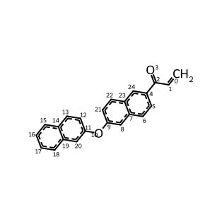 C=CC(=O)c1ccc2cc(Oc3ccc4ccccc4c3)ccc2c1